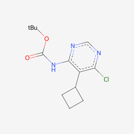 CC(C)(C)OC(=O)Nc1ncnc(Cl)c1C1CCC1